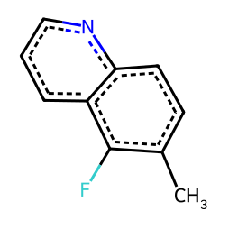 Cc1ccc2ncccc2c1F